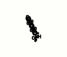 C=CC(=O)NC1CCN(S(=O)(=O)c2ccc(S(=O)(=O)N3CCOCC3)cc2)CC1C